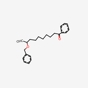 O=[C]C(CCCCCCCC(=O)c1ccccc1)OCc1ccccc1